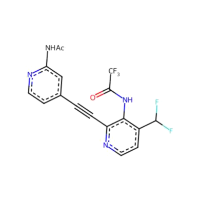 CC(=O)Nc1cc(C#Cc2nccc(C(F)F)c2NC(=O)C(F)(F)F)ccn1